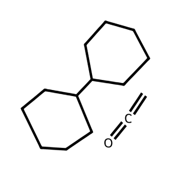 C1CCC(C2CCCCC2)CC1.C=C=O